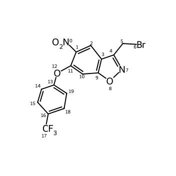 O=[N+]([O-])c1cc2c(CBr)noc2cc1Oc1ccc(C(F)(F)F)cc1